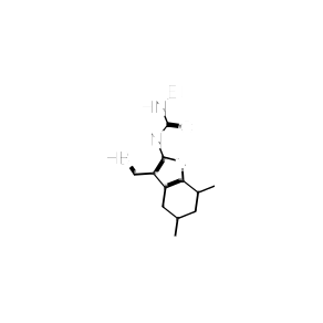 B=Cc1c(NC(=O)NCC)sc2c1CC(C)CC2C